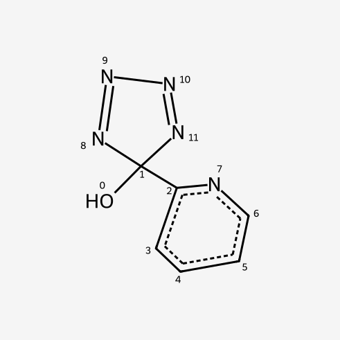 OC1(c2ccccn2)N=NN=N1